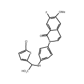 COc1cc2ccn(-c3ccc(NC(C(=O)O)c4ccc(Cl)s4)cc3)c(=O)c2cc1F